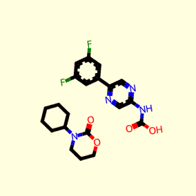 O=C(O)Nc1cnc(-c2cc(F)cc(F)c2)cn1.O=C1OCCCN1C1CCCCC1